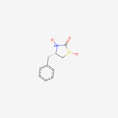 O=C1[NH+]([O-])[C@@H](Cc2ccccc2)C[S+]1[O-]